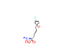 NC(CCCCCCC(=O)c1ccc(F)cc1)C(=O)O